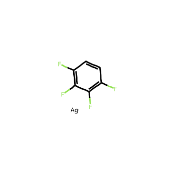 Fc1ccc(F)c(F)c1F.[Ag]